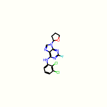 Fc1nc(Nc2cccc(Cl)c2Cl)c2ncn(C3CCCO3)c2n1